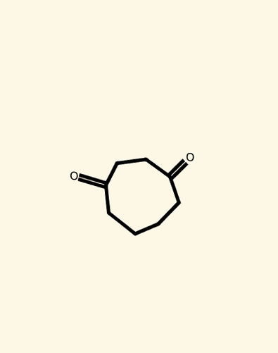 O=C1CCCCC(=O)CC1